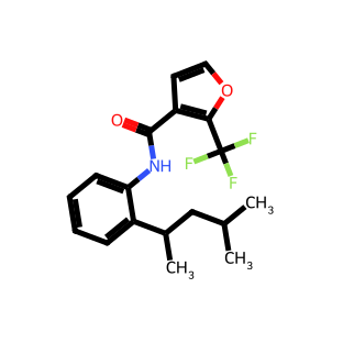 CC(C)CC(C)c1ccccc1NC(=O)c1ccoc1C(F)(F)F